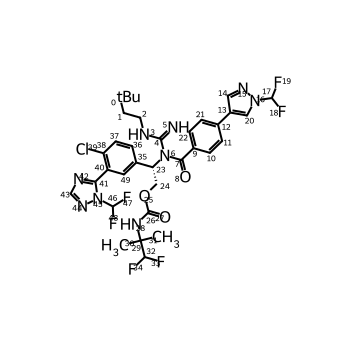 CC(C)(C)CCNC(=N)N(C(=O)c1ccc(-c2cnn(C(F)F)c2)cc1)[C@H](COC(=O)NC(C)(C)C(F)F)c1ccc(Cl)c(-c2ncnn2C(F)F)c1